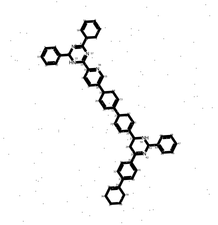 C1=CCC(C2=NC(c3ccccc3)NC(c3ccc(C4C=CC(C5C=CC(C6CC(c7ccc(C8=CCCCC8)cc7)=NC(c7ccccc7)N6)=CC5)=CC4)cn3)=N2)C=C1